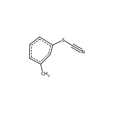 Cc1cccc(SC#N)c1